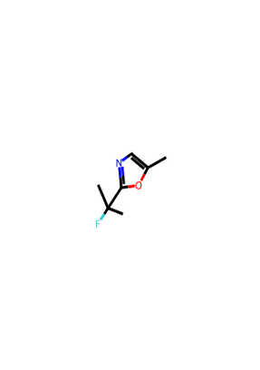 Cc1cnc(C(C)(C)F)o1